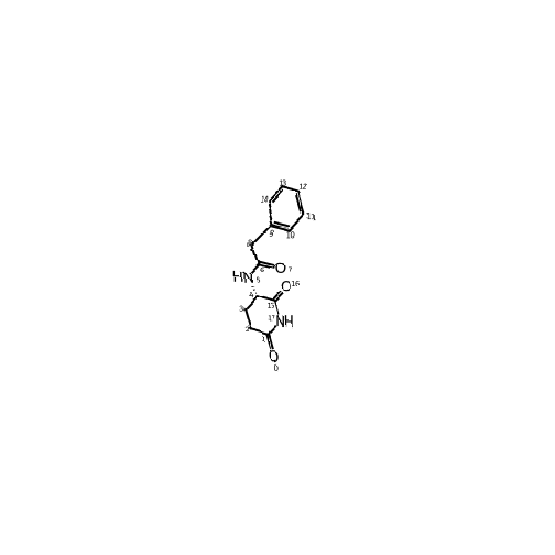 O=C1CC[C@H](NC(=O)Cc2ccccc2)C(=O)N1